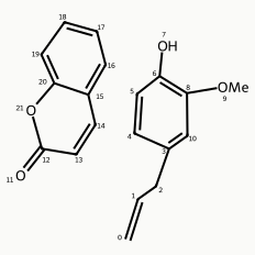 C=CCc1ccc(O)c(OC)c1.O=c1ccc2ccccc2o1